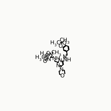 CN(C)C(=NS(C)(=O)=O)NCc1nc(NN=Cc2ccc3c(c2)OC(C)(C)O3)cc(N2CCOCC2)n1